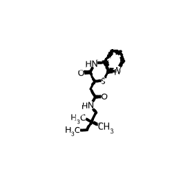 CCC(C)(C)CNC(=O)CC1Sc2ncccc2NC1=O